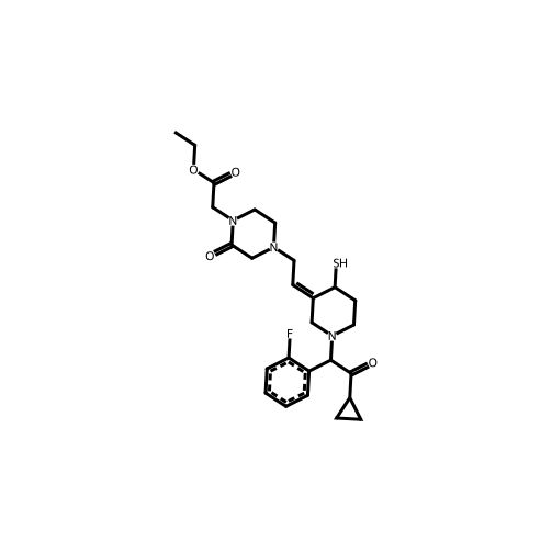 CCOC(=O)CN1CCN(CC=C2CN(C(C(=O)C3CC3)c3ccccc3F)CCC2S)CC1=O